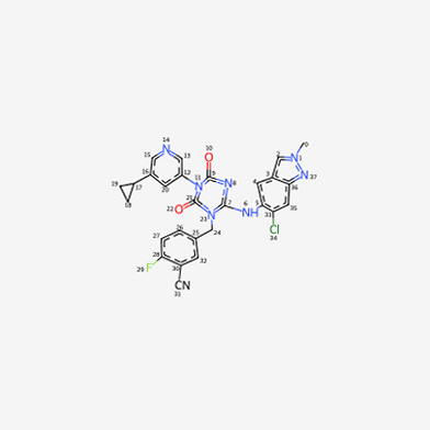 Cn1cc2cc(Nc3nc(=O)n(-c4cncc(C5CC5)c4)c(=O)n3Cc3ccc(F)c(C#N)c3)c(Cl)cc2n1